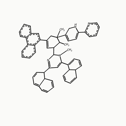 CC1C(C2N=C(C3C=CC=C4C=CC=CC43)C=C(C3=CC=CC4C=CC=CC34)N2C)C=C(c2cc3ccccc3c3ccccc23)CC1(C)C1=CC=C(c2ccccn2)NC1